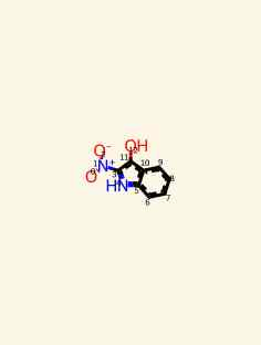 O=[N+]([O-])c1[nH]c2ccccc2c1O